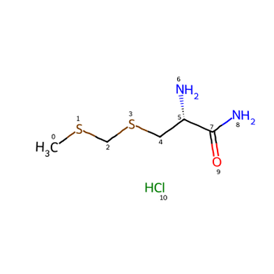 CSCSC[C@H](N)C(N)=O.Cl